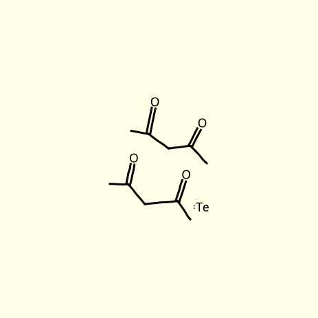 CC(=O)CC(C)=O.CC(=O)CC(C)=O.[Te]